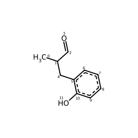 CC(C=O)Cc1ccccc1O